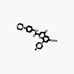 COc1cc(N2CCN(C)CC2)c2oc(C(=O)Nc3ccc(N4CCSCC4)cc3)cc(=O)c2c1